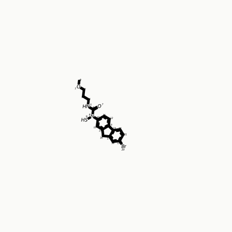 COCCCNC(=O)N(S)c1ccc2c(c1)Cc1cc(Br)ccc1-2